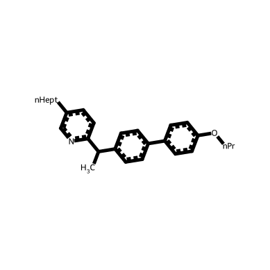 CCCCCCCc1ccc(C(C)c2ccc(-c3ccc(OCCC)cc3)cc2)nc1